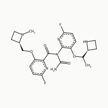 CC(Oc1ccc(F)nc1N(C(N)=O)C(=O)c1nc(F)ccc1OC[C@H]1CCN1C)[C@@H]1CCN1